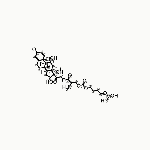 C[C@]12C=CC(=O)C=C1CC[C@H]1[C@@H]3C[C@@H](O)[C@](O)(C(=O)COC(=O)C(N)COC(=O)OCCCCON(O)O)[C@@]3(C)C[C@H](O)[C@@]12F